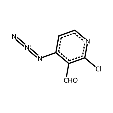 [N-]=[N+]=Nc1ccnc(Cl)c1C=O